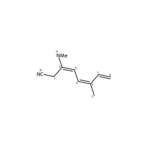 C=C/C(C)=C\C=C(/CC#N)NC